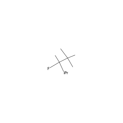 CC(C)C(C)(F)C(C)(C)C